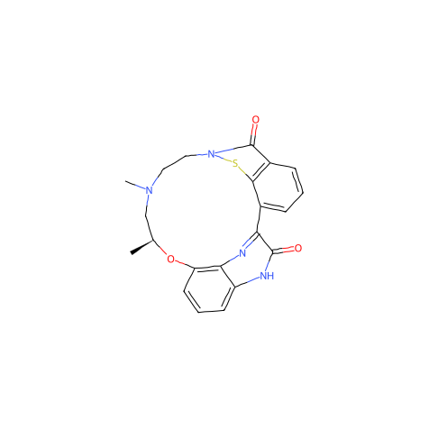 C[C@H]1CN(C)CCn2sc3c(cccc3c2=O)-c2nc3c(cccc3[nH]c2=O)O1